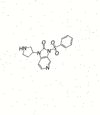 O=c1n(C2CCNC2)c2ccncc2n1S(=O)(=O)c1ccccc1